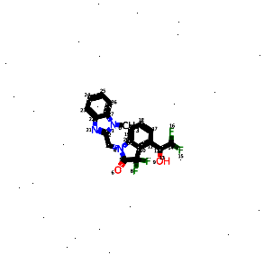 Cn1c(CN2C(=O)C(F)(F)c3c(C(O)C(F)F)cccc32)nc2ccccc21